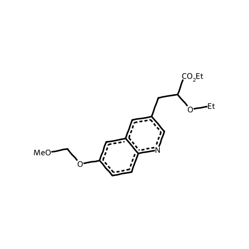 CCOC(=O)C(Cc1cnc2ccc(OCOC)cc2c1)OCC